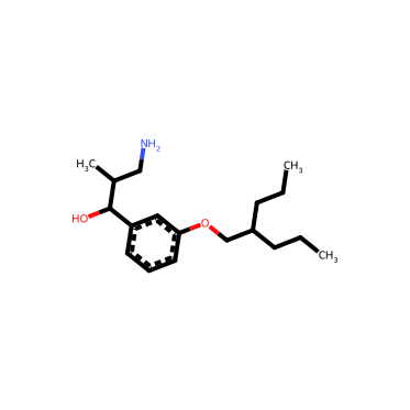 CCCC(CCC)COc1cccc(C(O)C(C)CN)c1